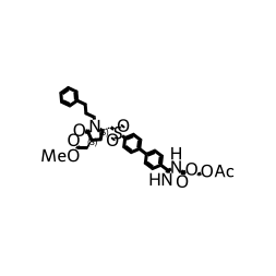 COC(=O)C[C@@H]1C[C@@H](CS(=O)(=O)c2ccc(-c3ccc(C(=N)NC(=O)OCOC(C)=O)cc3)cc2)N(CCCc2ccccc2)C1=O